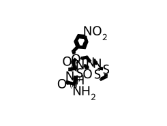 N[C@@H]1C(=O)N2C[C@@](C(=O)OCc3ccc([N+](=O)[O-])cc3)(N3CCN(N=C4SCCS4)C3=O)S[C@H]12